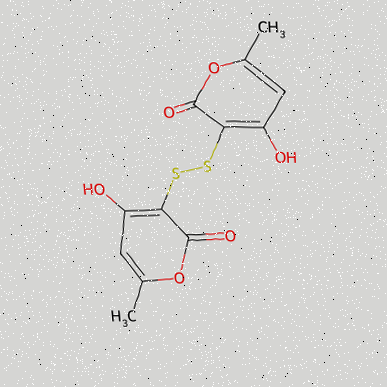 Cc1cc(O)c(SSc2c(O)cc(C)oc2=O)c(=O)o1